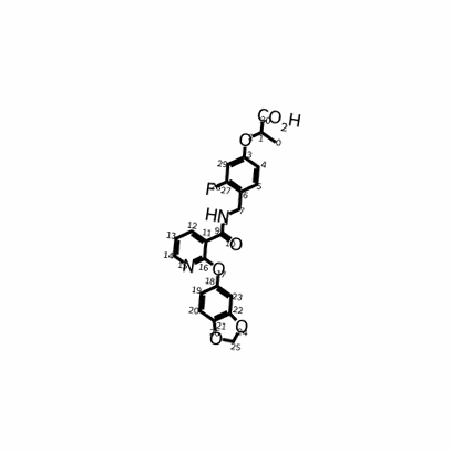 CC(Oc1ccc(CNC(=O)c2cccnc2Oc2ccc3c(c2)OCO3)c(F)c1)C(=O)O